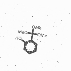 COC(OC)(OC)c1ccccc1O